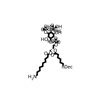 CCCCCCCCCCCCCCCC(=O)O[C@H](COC(=O)CCCCCCCCCN)COP(=O)(O)OC1C(O)[C@@H](O)C(OP(=O)(O)O)[C@@H](OP(=O)(O)O)[C@H]1O